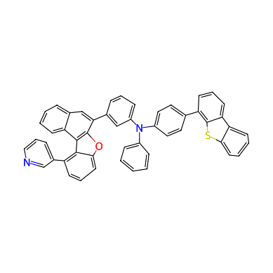 c1ccc(N(c2ccc(-c3cccc4c3sc3ccccc34)cc2)c2cccc(-c3cc4ccccc4c4c3oc3cccc(-c5cccnc5)c34)c2)cc1